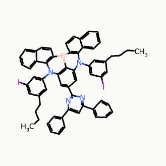 CCCCc1cc(I)cc(N2c3cc(-c4nc(-c5ccccc5)cc(-c5ccccc5)n4)cc4c3B(c3ccc5ccccc5c32)c2ccc3ccccc3c2N4c2cc(I)cc(CCCC)c2)c1